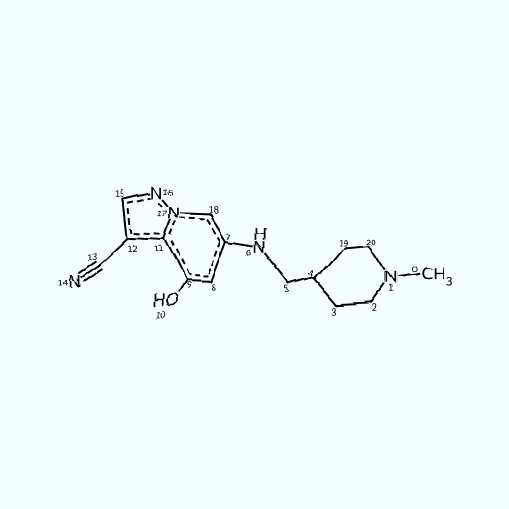 CN1CCC(CNc2cc(O)c3c(C#N)cnn3c2)CC1